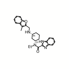 CCN(C(=O)c1nc2ccccc2[nH]1)[C@H]1CCC[C@@H](NCc2oc3ccccc3c2C)C1